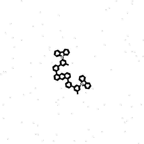 Cc1cc(-c2cccc(-c3cccc4cc5c(-c6cccc(-c7cc(C)cc(-n8c9ccccc9c9ccccc98)c7)c6)cccc5cc34)c2)cc(-n2c3ccccc3c3ccccc32)c1